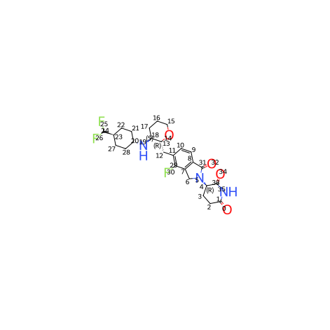 O=C1CC[C@@H](N2Cc3c(ccc(C[C@H]4OCCC[C@@H]4N[C@H]4CC[C@H](C(F)F)CC4)c3F)C2=O)C(=O)N1